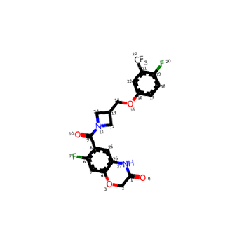 O=C1COc2cc(F)c(C(=O)N3CC(COc4ccc(F)c(C(F)(F)F)c4)C3)cc2N1